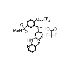 CNS(=O)(=O)c1ccc(OCC(F)(F)F)c(Nc2cc(Nc3ncccc3F)ncn2)c1.O=C(O)C(F)(F)F